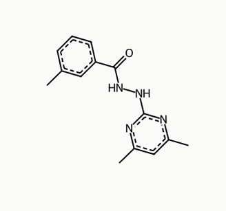 Cc1cccc(C(=O)NNc2nc(C)cc(C)n2)c1